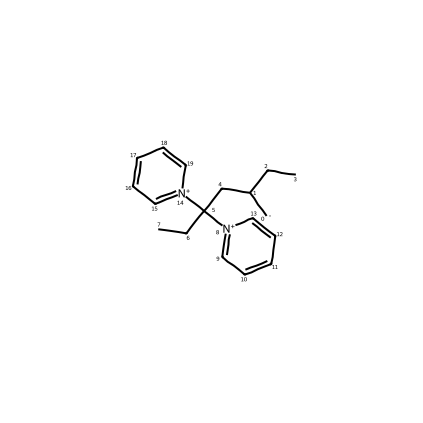 [CH2]C(CC)CC(CC)([n+]1ccccc1)[n+]1ccccc1